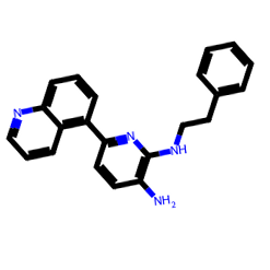 Nc1ccc(-c2cccc3ncccc23)nc1NCCc1ccccc1